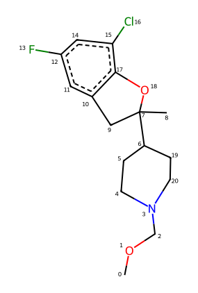 COCN1CCC(C2(C)Cc3cc(F)cc(Cl)c3O2)CC1